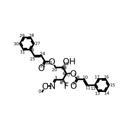 CON=C[C@H](F)[C@H](OC(=O)C=Cc1ccccc1)[C@@H](O)COC(=O)C=Cc1ccccc1